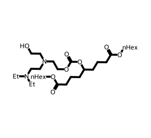 CCCCCCOC(=O)CCCC(CCCC(=O)OCCCCCC)OC(=O)OCCN(CCO)CCN(CC)CC